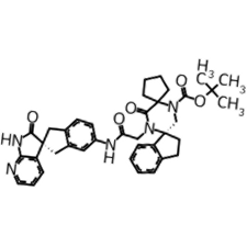 CC(C)(C)OC(=O)N1C[C@@]2(CCc3ccccc32)N(CC(=O)Nc2ccc3c(c2)C[C@@]2(C3)C(=O)Nc3ncccc32)C(=O)C12CCCC2